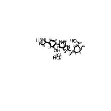 CN1CC[C@H](N(C)c2nc3nnc(-c4ccc(-c5cn[nH]c5)cc4O)cc3s2)C[C@H]1CO.Cl.Cl